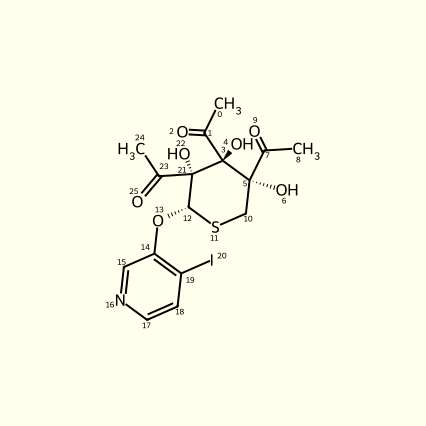 CC(=O)[C@]1(O)[C@@](O)(C(C)=O)CS[C@H](Oc2cnccc2I)[C@@]1(O)C(C)=O